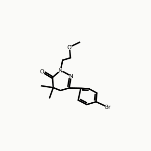 COCCN1N=C(c2ccc(Br)cc2)CC(C)(C)C1=O